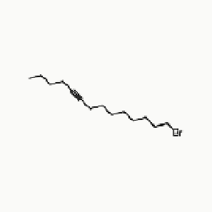 CCCCC#CCCCCCCCCBr